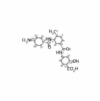 Cc1ccc(C(=O)Nc2ccc(C(=O)O)c(O)c2)cc1NC(=O)c1ccc([N+](=O)[O-])cc1